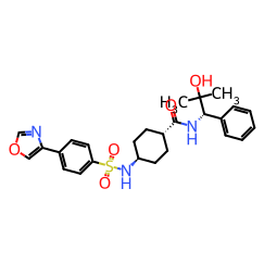 CC(C)(O)[C@@H](NC(=O)[C@H]1CC[C@H](NS(=O)(=O)c2ccc(-c3cocn3)cc2)CC1)c1ccccc1